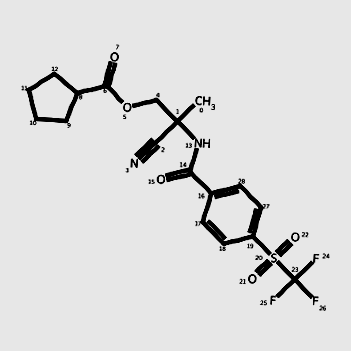 CC(C#N)(COC(=O)C1CCCC1)NC(=O)c1ccc(S(=O)(=O)C(F)(F)F)cc1